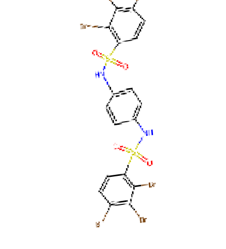 O=S(=O)(Nc1ccc(NS(=O)(=O)c2ccc(Br)c(Br)c2Br)cc1)c1ccc(Br)c(Br)c1Br